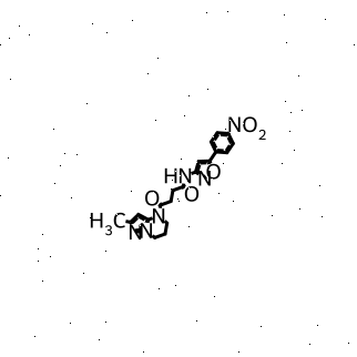 Cc1cc2n(n1)CCCN2C(=O)CCC(=O)Nc1cc(-c2ccc([N+](=O)[O-])cc2)on1